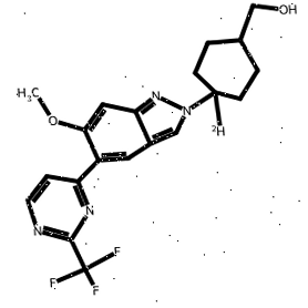 [2H]C1(n2cc3cc(-c4ccnc(C(F)(F)F)n4)c(OC)cc3n2)CCC(CO)CC1